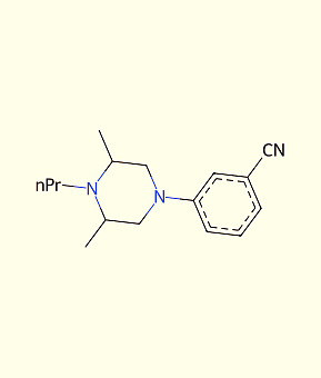 CCCN1C(C)CN(c2cccc(C#N)c2)CC1C